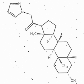 C[C@]12CC[C@@H](O)C[C@H]1CC[C@@H]1[C@@H]2CC[C@]2(C)[C@@H](C(=O)Cn3cncn3)CC[C@@H]12